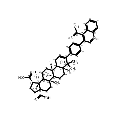 C=C(C)[C@@H]1CC[C@]2(C(=O)O)CC[C@]3(C)[C@H](CC[C@@H]4[C@@]5(C)CC=C(c6ccc(-c7cnc8ccccc8c7C(=O)O)cc6)C(C)(C)[C@@H]5CC[C@]43C)[C@@H]12